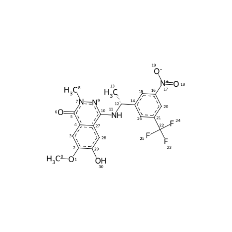 COc1cc2c(=O)n(C)nc(N[C@H](C)c3cc([N+](=O)[O-])cc(C(F)(F)F)c3)c2cc1O